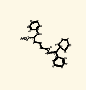 O=C(O)C(CCCON=C(c1ccccc1)C1CCCCC1)Oc1ccccc1